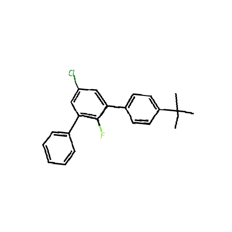 CC(C)(C)c1ccc(-c2cc(Cl)cc(-c3ccccc3)c2F)cc1